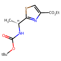 CCOC(=O)c1csc([C@@H](C)NC(=O)OC(C)(C)C)n1